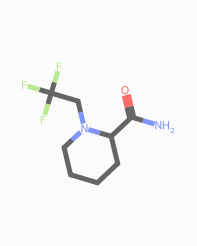 NC(=O)C1CCCCN1CC(F)(F)F